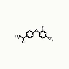 NC(=O)c1ccc(Oc2ccc(C(F)(F)F)cc2Cl)cc1